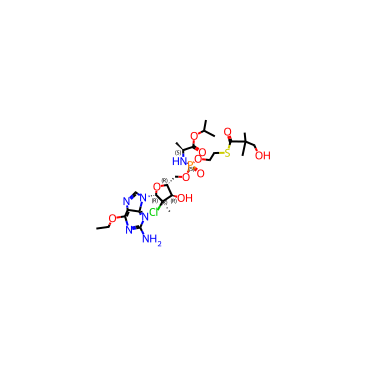 CCOc1nc(N)nc2c1ncn2[C@@H]1O[C@H](CO[P@@](=O)(N[C@@H](C)C(=O)OC(C)C)OCCSC(=O)C(C)(C)CO)[C@@H](O)[C@@]1(C)Cl